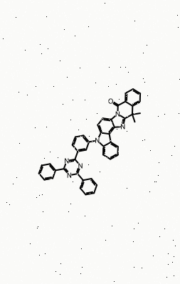 CC1(C)c2ccccc2C(=O)n2c1nc1c3c4ccccc4n(-c4cccc(-c5nc(-c6ccccc6)nc(-c6ccccc6)n5)c4)c3ccc12